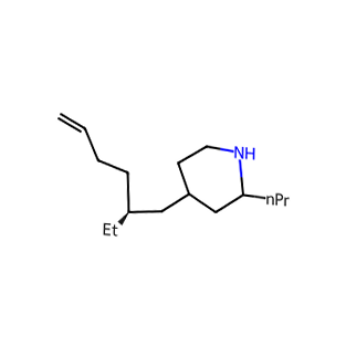 C=CCC[C@H](CC)CC1CCNC(CCC)C1